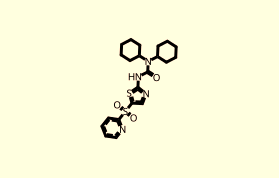 O=C(Nc1ncc(S(=O)(=O)c2ccccn2)s1)N(C1CCCCC1)C1CCCCC1